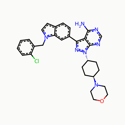 Nc1ncnc2c1c(-c1ccc3ccn(Cc4ccccc4Cl)c3c1)nn2[C@H]1CC[C@H](N2CCOCC2)CC1